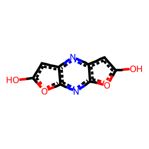 Oc1cc2nc3cc(O)oc3nc2o1